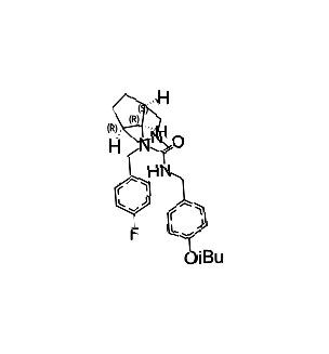 CC(C)COc1ccc(CNC(=O)N(Cc2ccc(F)cc2)[C@H]2[C@@H]3CC[C@H]2CN(C)C3)cc1